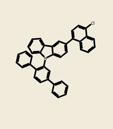 Clc1ccc(-c2ccc3c(c2)c2ccccc2n3-c2cc(-c3ccccc3)ccc2-c2ccccc2)c2ccccc12